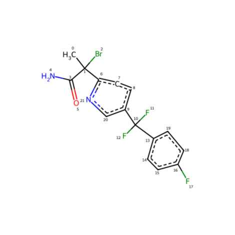 CC(Br)(C(N)=O)c1ccc(C(F)(F)c2ccc(F)cc2)cn1